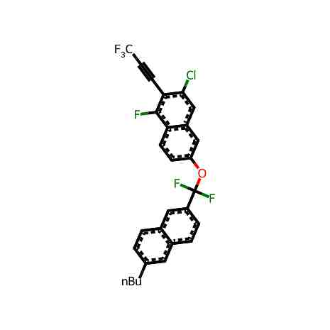 CCCCc1ccc2cc(C(F)(F)Oc3ccc4c(F)c(C#CC(F)(F)F)c(Cl)cc4c3)ccc2c1